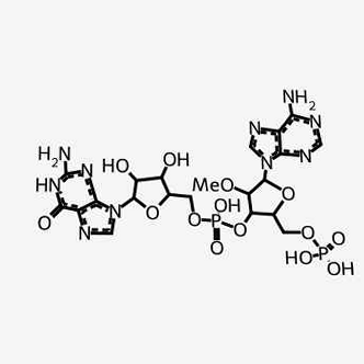 COC1C(OP(=O)(O)OCC2OC(n3cnc4c(=O)[nH]c(N)nc43)C(O)C2O)C(COP(=O)(O)O)OC1n1cnc2c(N)ncnc21